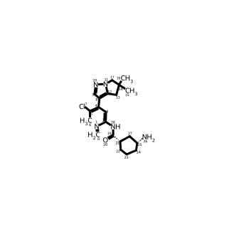 C=N/C(=C\C(=C(/C)Cl)c1cnn2c1CC(C)(C)C2)NC(=O)[C@H]1CCC[C@@H](N)C1